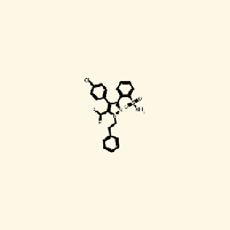 NS(=O)(=O)c1ccccc1-c1nn(CCc2ccccc2)c(C(F)F)c1-c1ccc(Cl)cc1